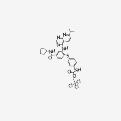 CC(C)c1ccc2c(Nc3cc(C(=O)NC4CCCC4)ccc3Sc3ccc(NC(=O)OCC(Cl)(Cl)Cl)cc3)ncnc2n1